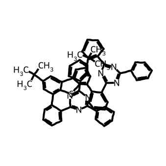 CC(C)(C)c1cc(-c2ccccc2-c2nc(-c3ccccc3)nc(-c3ccccc3)n2)c2sc3c(-c4ccccc4-c4nc(-c5ccccc5)nc(-c5ccccc5)n4)cc(C(C)(C)C)cc3c2c1